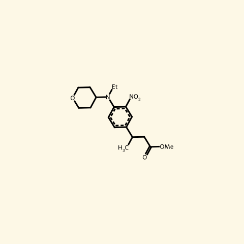 CCN(c1ccc(C(C)CC(=O)OC)cc1[N+](=O)[O-])C1CCOCC1